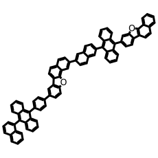 c1ccc2c(-c3c4ccccc4c(-c4ccc(-c5ccc6oc7c8cc(-c9ccc%10cc(-c%11c%12ccccc%12c(-c%12ccc%13c(c%12)oc%12c%14ccccc%14ccc%13%12)c%12ccccc%11%12)ccc%10c9)ccc8ccc7c6c5)cc4)c4ccccc34)cccc2c1